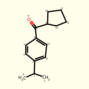 CC(C)c1[c]cc(C(=O)C2CCCC2)cc1